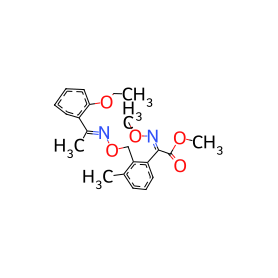 CCOc1ccccc1/C(C)=N/OCc1c(C)cccc1/C(=N\OC)C(=O)OC